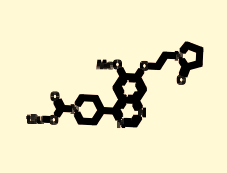 COc1cc2c(C3CCN(C(=O)OC(C)(C)C)CC3)ncnc2cc1OCCN1CCCC1=O